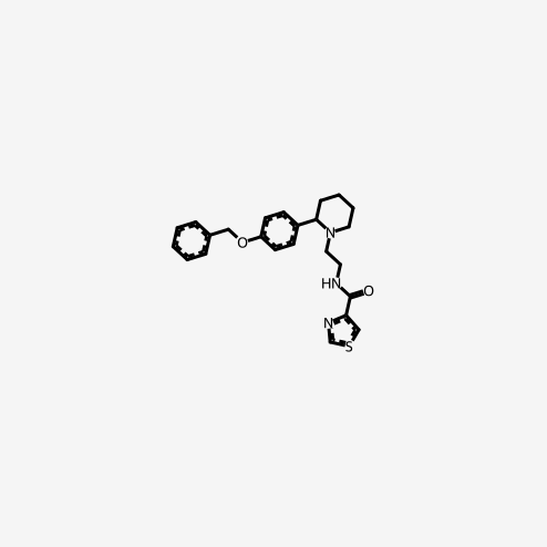 O=C(NCCN1CCCCC1c1ccc(OCc2ccccc2)cc1)c1cscn1